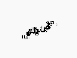 COC(=O)c1ccc2nc(CN/C=C(\C=N)C(=O)NCc3ncn4ccc(C)cc34)cn2c1